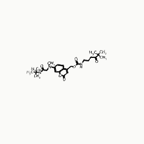 CN(CC(=O)NC(C)(C)C)c1ccc2c(COC(=O)NCCCC(=O)C(C)(C)C)cc(=O)oc2c1